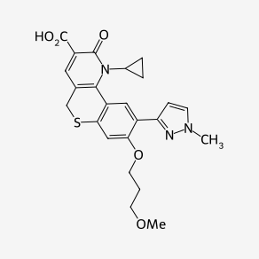 COCCCOc1cc2c(cc1-c1ccn(C)n1)-c1c(cc(C(=O)O)c(=O)n1C1CC1)CS2